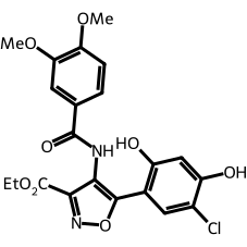 CCOC(=O)c1noc(-c2cc(Cl)c(O)cc2O)c1NC(=O)c1ccc(OC)c(OC)c1